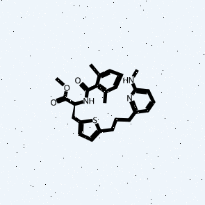 CNc1cccc(CCCc2ccc(C[C@H](NC(=O)c3c(C)cccc3C)C(=O)OC)s2)n1